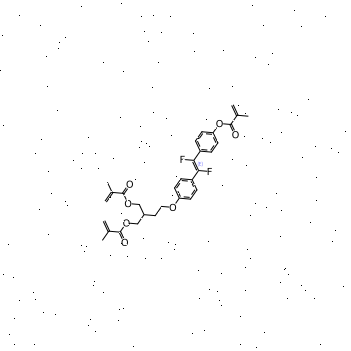 C=C(C)C(=O)OCC(CCOc1ccc(/C(F)=C(\F)c2ccc(OC(=O)C(=C)C)cc2)cc1)COC(=O)C(=C)C